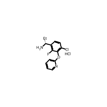 CC[C@@H](N)c1ccc(Cl)c(Oc2ccccn2)c1F.Cl